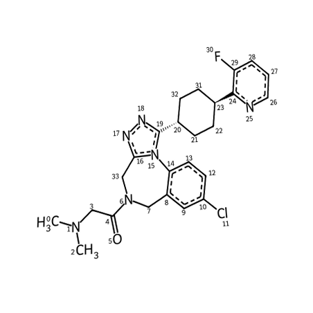 CN(C)CC(=O)N1Cc2cc(Cl)ccc2-n2c(nnc2[C@H]2CC[C@H](c3ncccc3F)CC2)C1